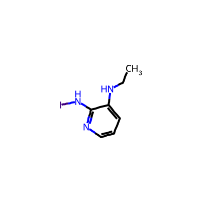 CCNc1cccnc1NI